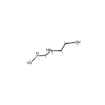 OCCNCPO